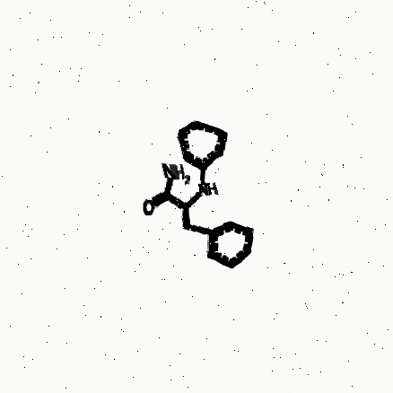 NC(=O)C(Cc1ccccc1)Nc1ccccc1